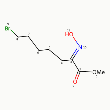 COC(=O)C(CCCCCBr)=NO